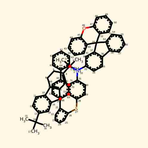 CC(C)(C)C1=CC2=C(CC1)c1ccc(C(C)(C)C)cc1C21c2ccccc2Sc2ccc(N(c3ccc4c(c3)C3(c5ccccc5Oc5ccccc53)c3ccccc3-4)c3ccccc3-c3ccccc3)cc21